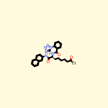 CCC(=O)CCCCC[C@H](NC(=O)c1ccccc1-n1cnnn1)C(=O)Nc1ccc2ccccc2c1